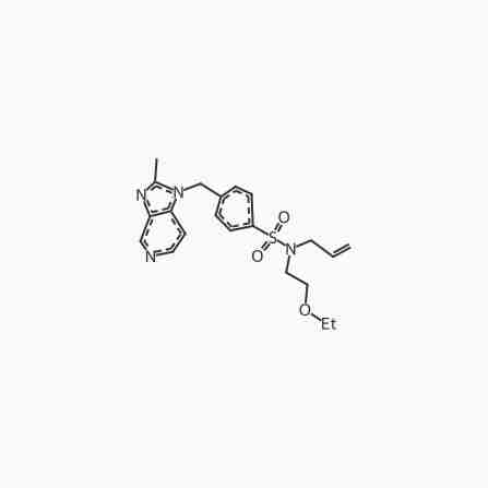 C=CCN(CCOCC)S(=O)(=O)c1ccc(Cn2c(C)nc3cnccc32)cc1